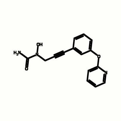 NC(=O)N(O)CC#Cc1cccc(Oc2ccccn2)c1